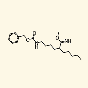 CCCCCC(CCCCNC(=O)OCc1ccccc1)C(=N)OC